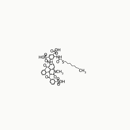 CCCCCCCCSCC(=O)Nc1cc(Nc2ccc3c4c2C(=O)c2ccccc2-c4c(C(=O)c2cccc(S(=O)(=O)O)c2)c(=O)n3C)c(S(=O)(=O)O)cc1S(=O)(=O)O